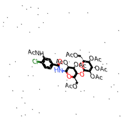 CC(=O)Nc1cc(C(=O)N[C@@H]2O[C@H](COC(C)=O)[C@@H](O[C@H]3O[C@H](COC(C)=O)[C@@H](OC(C)=O)[C@H](OC(C)=O)[C@H]3OC(C)=O)[C@H](OC(C)=O)[C@H]2OC(C)=O)ccc1Cl